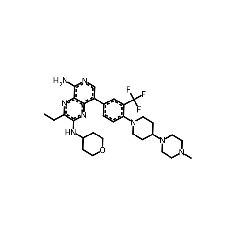 CCc1nc2c(N)ncc(-c3ccc(N4CCC(N5CCN(C)CC5)CC4)c(C(F)(F)F)c3)c2nc1NC1CCOCC1